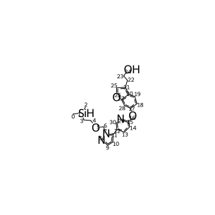 C[SiH](C)CCOCn1nccc1-c1ccc(Oc2ccc3c(CCO)coc3c2)nc1